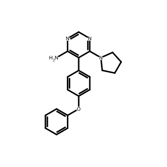 Nc1ncnc(N2CCCC2)c1-c1ccc(Oc2ccccc2)cc1